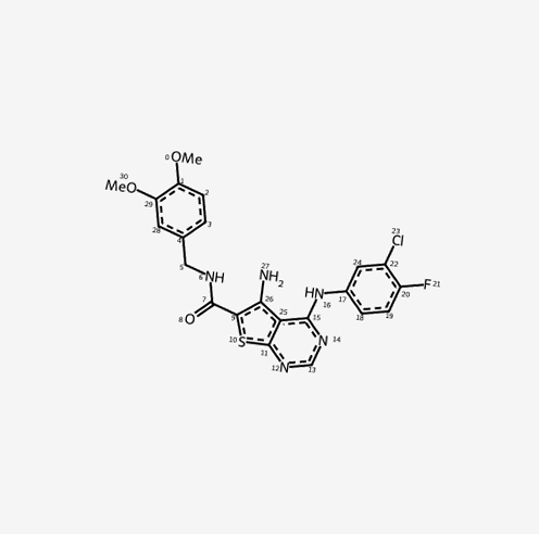 COc1ccc(CNC(=O)c2sc3ncnc(Nc4ccc(F)c(Cl)c4)c3c2N)cc1OC